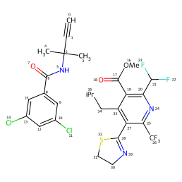 C#CC(C)(C)NC(=O)c1cc(Cl)cc(Cl)c1.COC(=O)c1c(C(F)F)nc(C(F)(F)F)c(C2=NCCS2)c1CC(C)C